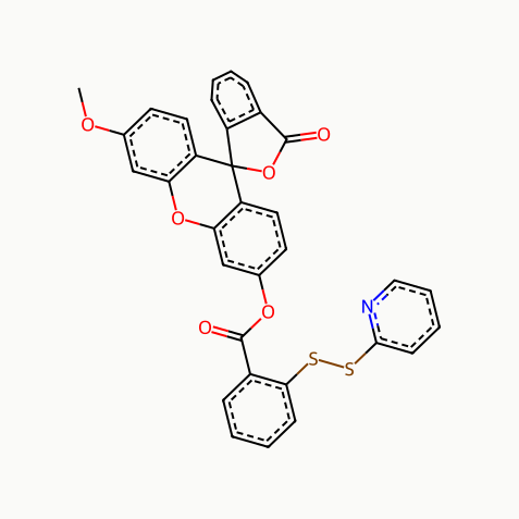 COc1ccc2c(c1)Oc1cc(OC(=O)c3ccccc3SSc3ccccn3)ccc1C21OC(=O)c2ccccc21